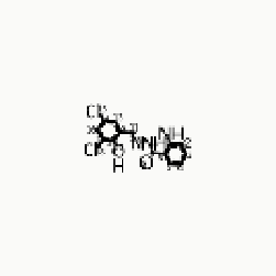 Nc1ccccc1C(=O)N/N=C/c1cc(Cl)cc(Cl)c1O